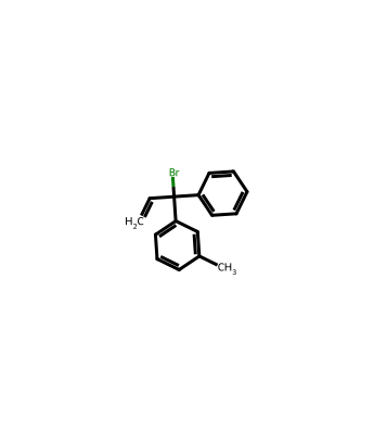 C=CC(Br)(c1ccccc1)c1cccc(C)c1